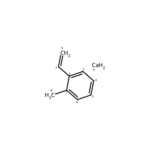 C=Cc1ccccc1C.[CaH2]